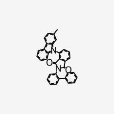 Cc1ccc2c3ccccc3n(-c3cccc4c3C(=O)N(c3ccccc3-c3ccccc3)C4=O)c2c1